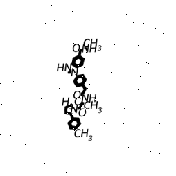 CNC(=O)c1ccc2c(c1)NCN2c1ccc(CC(=O)NC(C)(C)C(=O)N2CCCC2c2ccc(C)cc2)cc1